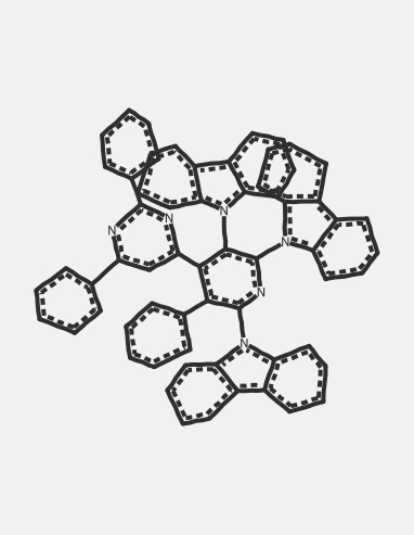 c1ccc(-c2cc(-c3c(-c4ccccc4)c(-n4c5ccccc5c5ccccc54)nc(-n4c5ccccc5c5ccccc54)c3-n3c4ccccc4c4ccccc43)nc(-c3ccccc3)n2)cc1